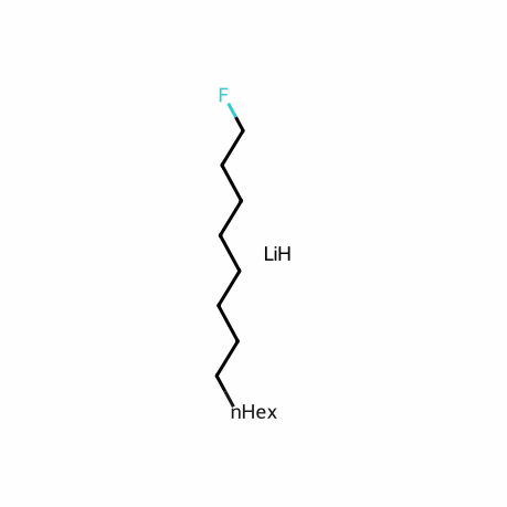 CCCCCCCCCCCCCCF.[LiH]